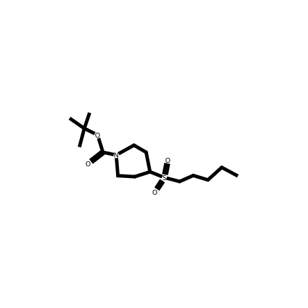 CCCCCS(=O)(=O)C1CCN(C(=O)OC(C)(C)C)CC1